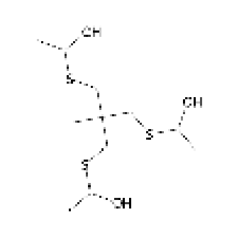 CC(O)SCC(C)(CSC(C)O)CSC(C)O